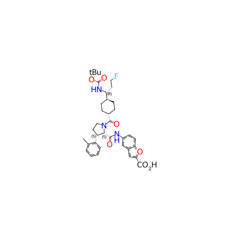 Cc1ccccc1[C@@H]1CCN(C(=O)[C@H]2CC[C@H]([C@@H](CCF)NC(=O)OC(C)(C)C)CC2)[C@@H]1C(=O)Nc1ccc2oc(C(=O)O)cc2c1